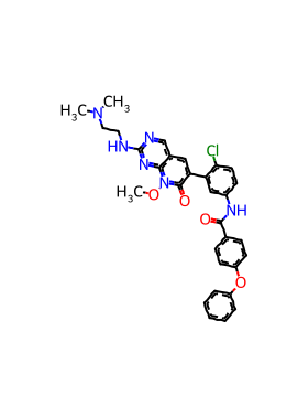 COn1c(=O)c(-c2cc(NC(=O)c3ccc(Oc4ccccc4)cc3)ccc2Cl)cc2cnc(NCCN(C)C)nc21